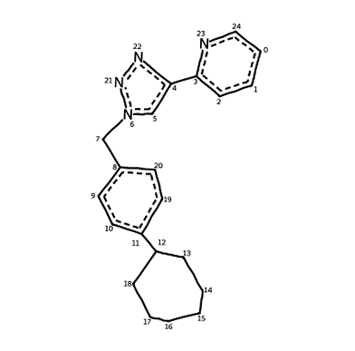 c1ccc(-c2cn(Cc3ccc(C4CCCCCC4)cc3)nn2)nc1